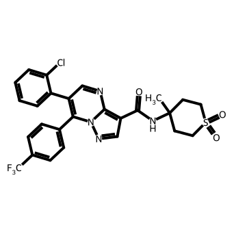 CC1(NC(=O)c2cnn3c(-c4ccc(C(F)(F)F)cc4)c(-c4ccccc4Cl)cnc23)CCS(=O)(=O)CC1